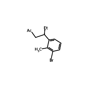 CCC(CC(C)=O)c1cccc(Br)c1C